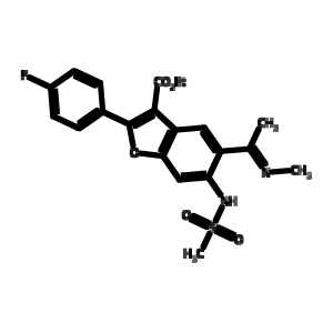 CCOC(=O)c1c(-c2ccc(F)cc2)oc2cc(NS(C)(=O)=O)c(/C(C)=N/C)cc12